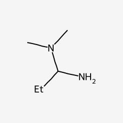 [CH2]CC(N)N(C)C